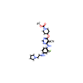 CC(C)OC(=O)N1CCC(Oc2ncnc(Nc3ccc(NCCN4CCCC4)cc3F)c2C#N)CC1